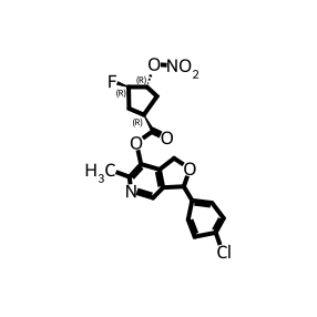 Cc1ncc2c(c1OC(=O)[C@H]1C[C@@H](F)[C@H](O[N+](=O)[O-])C1)COC2c1ccc(Cl)cc1